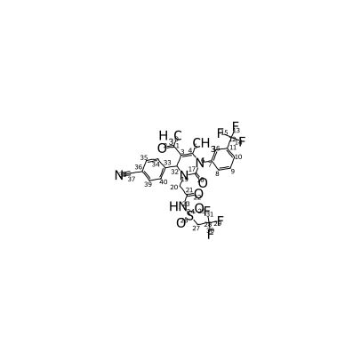 CC(=O)C1=C(C)N(c2cccc(C(F)(F)F)c2)C(=O)N(CC(=O)NS(=O)(=O)CC(F)(F)F)C1c1ccc(C#N)cc1